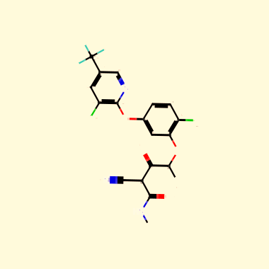 CNC(=O)C(C#N)C(=O)C(C)Oc1cc(Oc2ncc(C(F)(F)F)cc2Cl)ccc1Cl